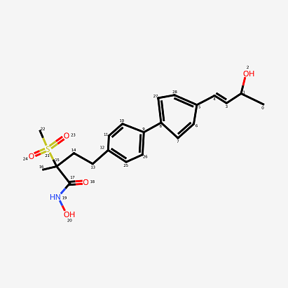 CC(O)C=Cc1ccc(-c2ccc(CCC(C)(C(=O)NO)S(C)(=O)=O)cc2)cc1